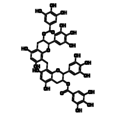 O=C(OC1Cc2c(O)cc(O)c(Cc3c(O)cc(O)c4c3OC(c3cc(O)c(O)c(O)c3)C(OC(=O)c3cc(O)c(O)c(O)c3)C4)c2OC1c1cc(O)c(O)c(O)c1)c1cc(O)c(O)c(O)c1